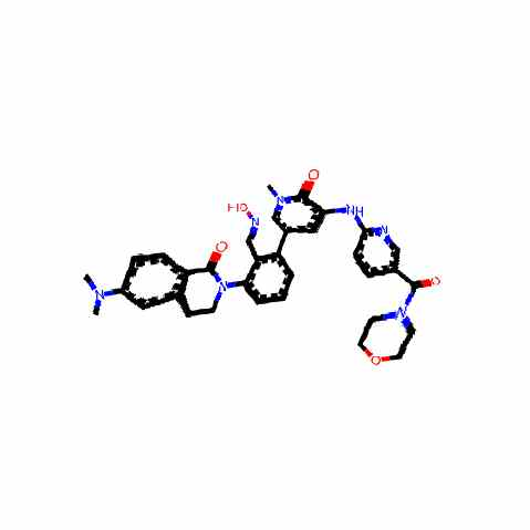 CN(C)c1ccc2c(c1)CCN(c1cccc(-c3cc(Nc4ccc(C(=O)N5CCOCC5)cn4)c(=O)n(C)c3)c1C=NO)C2=O